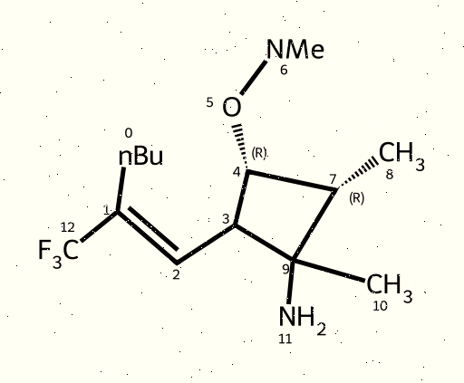 CCCCC(=CC1[C@H](ONC)[C@H](C)C1(C)N)C(F)(F)F